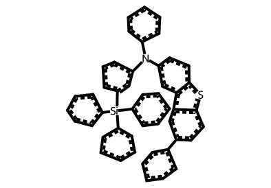 c1ccc(-c2ccc3sc4ccc(N(c5ccccc5)c5cccc([Si](c6ccccc6)(c6ccccc6)c6ccccc6)c5)cc4c3c2)cc1